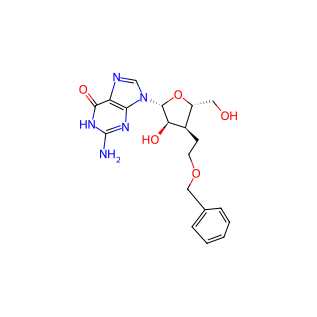 Nc1nc2c(ncn2[C@@H]2O[C@H](CO)[C@@H](CCOCc3ccccc3)[C@H]2O)c(=O)[nH]1